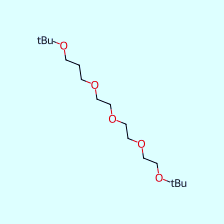 CC(C)(C)OCCCOCCOCCOCCOC(C)(C)C